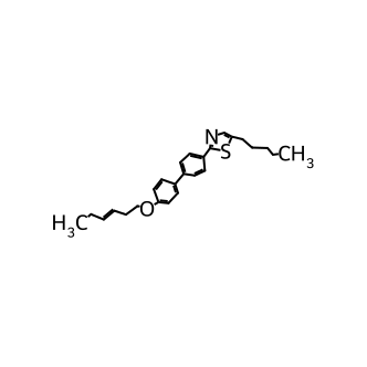 CCC=CCCOc1ccc(-c2ccc(-c3ncc(CCCCC)s3)cc2)cc1